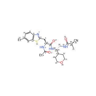 CCC(=O)N[C@@H](Cc1nc2ccc(CC)cc2s1)C(=O)N[C@H](CNC(=O)[C@H](C)C#N)C1CCOCC1